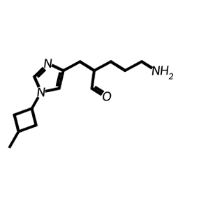 CC1CC(n2cnc(CC(C=O)CCCN)c2)C1